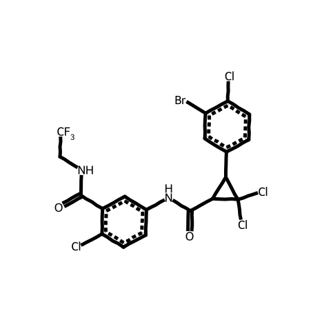 O=C(NCC(F)(F)F)c1cc(NC(=O)C2C(c3ccc(Cl)c(Br)c3)C2(Cl)Cl)ccc1Cl